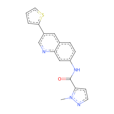 Cn1nccc1C(=O)Nc1ccc2cc(-c3cccs3)cnc2c1